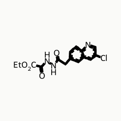 CCOC(=O)C(=O)NNC(=O)Cc1ccc2ncc(Cl)cc2c1